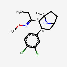 CCC(=NOC)[C@@H]1[C@H]2CCC(C[C@H]1c1ccc(Cl)c(Cl)c1)N2